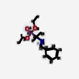 CCOP(=O)(OCC)C(C)(C)/N=C/c1ccccc1